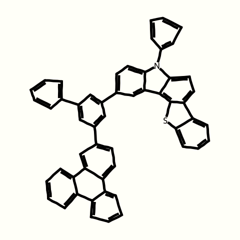 c1ccc(-c2cc(-c3ccc4c5ccccc5c5ccccc5c4c3)cc(-c3ccc4c(c3)c3c5sc6ccccc6c5ccc3n4-c3ccccc3)c2)cc1